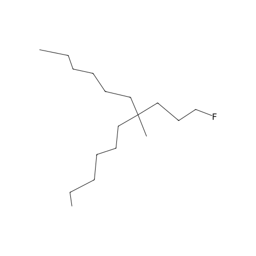 CCCCCCC(C)(CCCF)CCCCCC